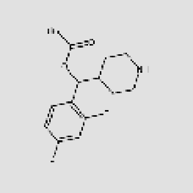 CC(C)(C)C(=O)OC(c1ccc(F)cc1F)C1CCNCC1